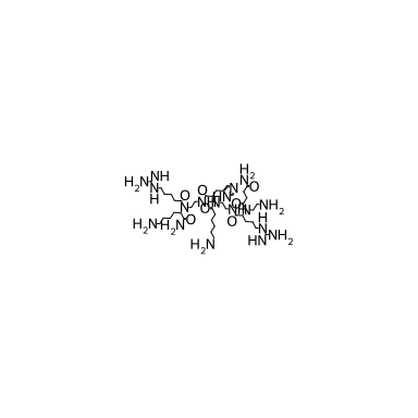 N=C(N)NCCCCC(=O)N(CCNC(=O)C(Cc1cnc[nH]1)N(CCNC(=O)C(CCCNC(=N)N)N(CCN)C(=O)CCC(N)=O)C(=O)CCCCCN)C(CCCCN)C(N)=O